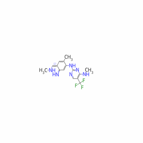 CN/C=C1/C=C(C)C(Nc2ncc(C(F)(F)F)c(NC)n2)=CC1=N